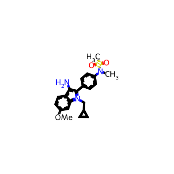 COc1ccc2c(N)c(-c3ccc(N(C)S(C)(=O)=O)cc3)n(CC3CC3)c2c1